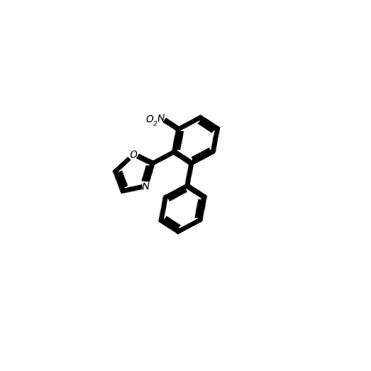 O=[N+]([O-])c1cccc(-c2ccccc2)c1-c1ncco1